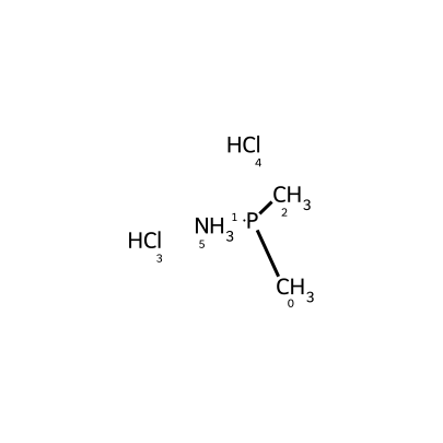 C[P]C.Cl.Cl.N